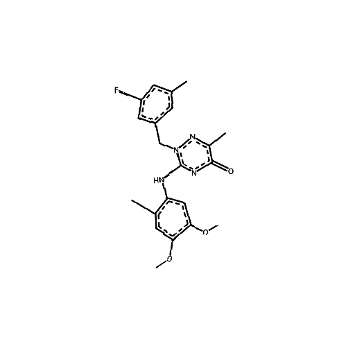 COc1cc(C)c(Nc2nc(=O)c(C)nn2Cc2cc(C)cc(F)c2)cc1OC